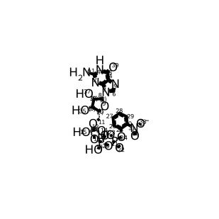 Nc1nc2c(ncn2[C@@H]2O[C@H](COP(=O)(O)OP(=O)(O)OP(=O)(O)Oc3ccccc3[N+](=O)[O-])[C@@H](O)[C@H]2O)c(=O)[nH]1